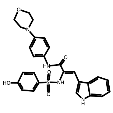 O=C(Nc1ccc(N2CCOCC2)cc1)C(=Cc1c[nH]c2ccccc12)NS(=O)(=O)c1ccc(O)cc1